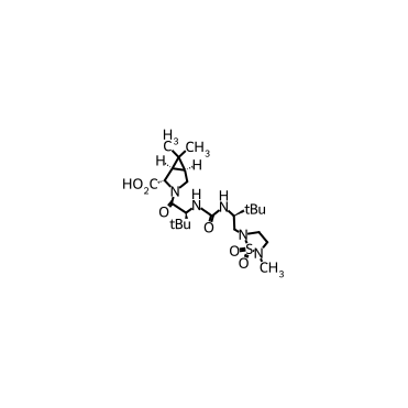 CN1CCN(C[C@@H](NC(=O)N[C@H](C(=O)N2C[C@H]3[C@@H]([C@H]2C(=O)O)C3(C)C)C(C)(C)C)C(C)(C)C)S1(=O)=O